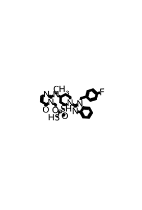 CN(c1nccc(=O)n1COP(=O)(S)S)C1CCN(c2nc3ccccc3n2Cc2ccc(F)cc2)CC1